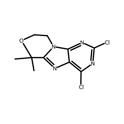 CC1(C)OCCn2c1nc1c(Cl)nc(Cl)nc12